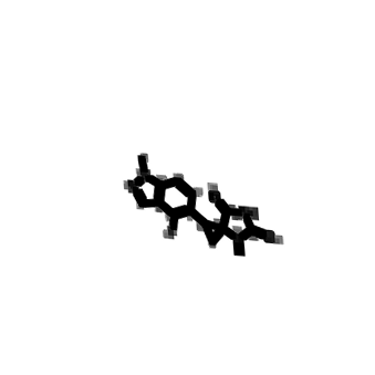 Cn1ncc2c(F)c(C3CC34NC(=O)NC4=O)ccc21